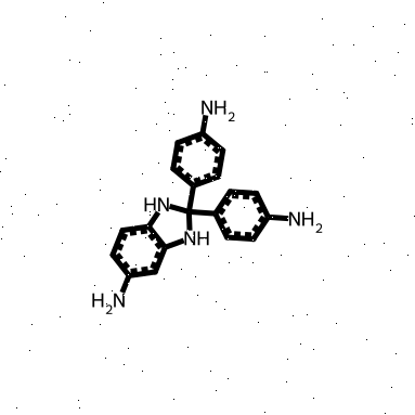 Nc1ccc(C2(c3ccc(N)cc3)Nc3ccc(N)cc3N2)cc1